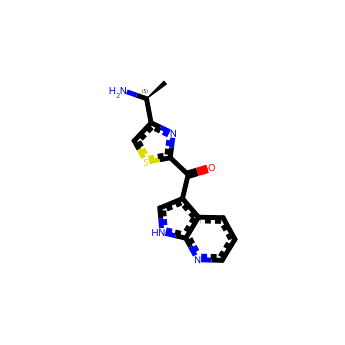 C[C@H](N)c1csc(C(=O)c2c[nH]c3ncccc23)n1